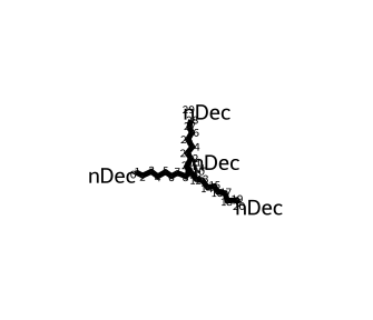 CCCCCCCCCCCCCCCCCC[N+](CCCCCCCCCCC)(CCCCCCCCCCCCCCCCCC)CCCCCCCCCCCCCCCCCC